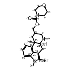 CN1CC(COC(=O)N2CCOCC2)C[C@H]2c3cccc4c3c(c(Br)n4C)C[C@@H]21